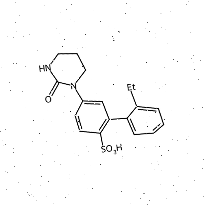 CCc1ccccc1-c1cc(N2CCCNC2=O)ccc1S(=O)(=O)O